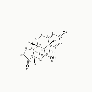 C[C@]12C=CC(=O)C=C1CC[C@@H]1[C@@H]2C(O)C[C@]2(C)C(=O)CC[C@@H]12